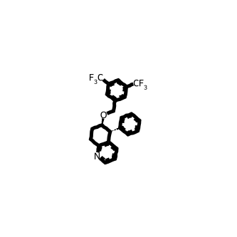 FC(F)(F)c1cc(CO[C@@H]2CCc3ncccc3[C@H]2c2ccccc2)cc(C(F)(F)F)c1